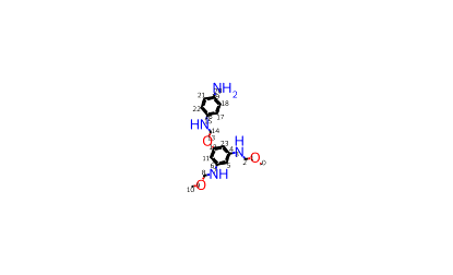 COCNc1cc(NCOC)cc(OCNc2ccc(N)cc2)c1